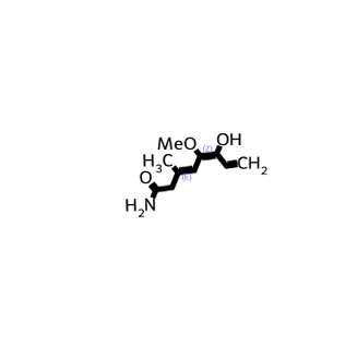 C=C/C(O)=C(\C=C(/C)CC(N)=O)OC